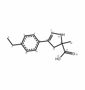 CCc1ccc(C2=NNC(C)(C(=O)O)C2)cc1